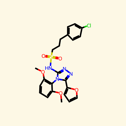 COc1cccc(OC)c1-n1c(NS(=O)(=O)CCCc2ccc(Cl)cc2)nnc1-c1ccco1